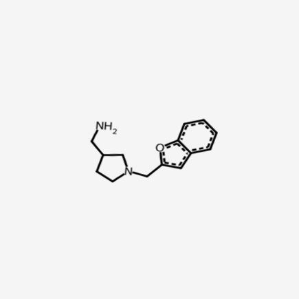 NCC1CCN(Cc2cc3ccccc3o2)C1